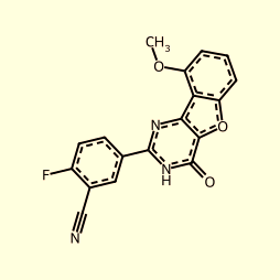 COc1cccc2oc3c(=O)[nH]c(-c4ccc(F)c(C#N)c4)nc3c12